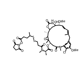 COc1cc2cc(c1Cl)N(C)C(=O)C[C@H](OC(=O)[C@@H](C)N(C)C(=O)CCSSC(C)CCC(=O)ON1C(=O)CCC1=O)C1(C)OC1[C@H](C)C1C[C@@](O)(NC(=O)O1)[C@H](OC)/C=C/C=C(\C)C2